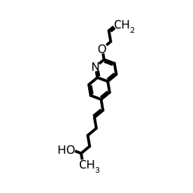 C=CCOc1ccc2cc(C=CCCCC(C)O)ccc2n1